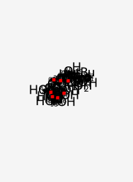 C=C1C[C@@]23CC[C@H]4[C@@](C)(CCC[C@@]4(C)C(=O)N(CCC(C)(C)C)[C@@H](CC(=O)O)C(=O)NC(Cc4ccccc4)C(=O)CO)[C@@H]2CC[C@]1(O[C@@H]1O[C@H](CO)[C@@H](O)[C@H](O[C@@H]2O[C@H](CO)[C@@H](C)[C@H](O)[C@H]2O)[C@H]1O[C@@H]1O[C@H](CO)[C@@H](O)[C@H](O)[C@H]1O)C3